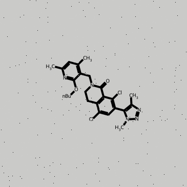 CCCCOc1nc(C)cc(C)c1CN1CCc2c(Cl)cc(-c3c(C)nnn3C)c(Cl)c2C1=O